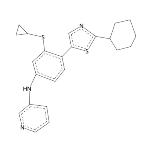 c1cncc(Nc2ccc(-c3cnc(C4CCCCC4)s3)c(SC3CC3)c2)c1